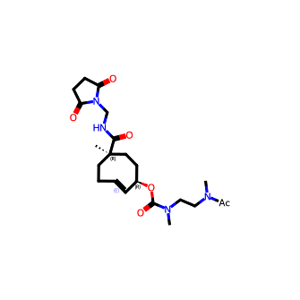 CC(=O)N(C)CCN(C)C(=O)O[C@H]1/C=C/CC[C@@](C)(C(=O)NCN2C(=O)CCC2=O)CC1